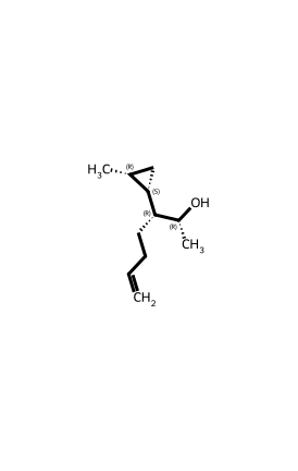 C=CCC[C@H]([C@H]1C[C@H]1C)[C@@H](C)O